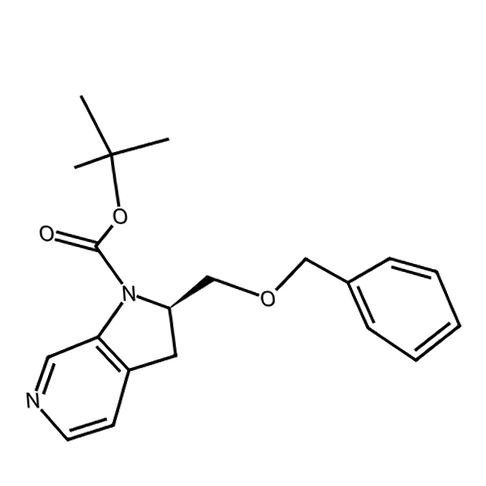 CC(C)(C)OC(=O)N1c2cnccc2C[C@@H]1COCc1ccccc1